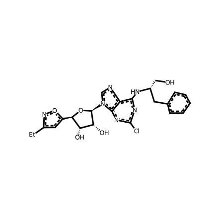 CCc1cc([C@H]2O[C@@H](n3cnc4c(N[C@H](CO)Cc5ccccc5)nc(Cl)nc43)[C@H](O)[C@@H]2O)on1